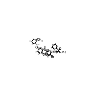 CNS(=O)(=O)c1ccccc1Nc1nc(Nc2cc(OC[C@H]3CCCN3C)ccc2OC)ncc1Br